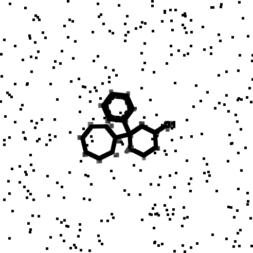 OC1CC[N]C(c2ccccc2)(C2CCCCCC2)C1